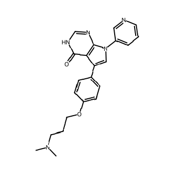 CN(C)CCCOc1ccc(-c2cn(-c3cccnc3)c3nc[nH]c(=O)c23)cc1